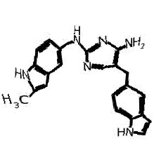 Cc1cc2cc(Nc3ncc(Cc4ccc5[nH]ccc5c4)c(N)n3)ccc2[nH]1